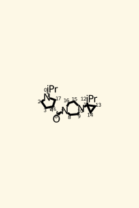 CC(C)N1CC[C@@H](C(=O)N2CCN(C3(C(C)C)CC3)CC2)C1